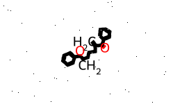 C=C(CCCC(=C)C(=O)c1ccccc1)C(=O)c1ccccc1